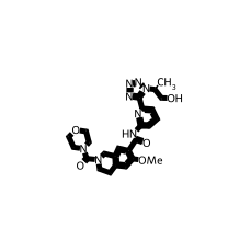 COc1cc2c(cc1C(=O)Nc1cccc(-c3nnnn3[C@H](C)CO)n1)CN(C(=O)N1CCOCC1)CC2